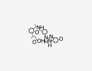 COc1ccc2[nH]c(Nc3cccc(C(=O)NC(C)c4cccc(C(C)CC(=O)O)c4)c3)nc2c1